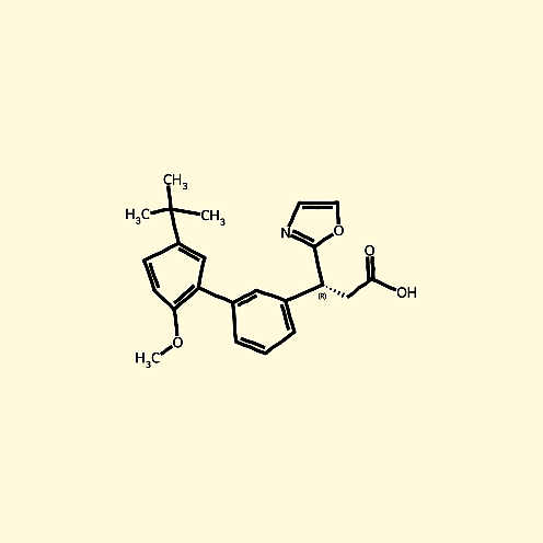 COc1ccc(C(C)(C)C)cc1-c1cccc([C@@H](CC(=O)O)c2ncco2)c1